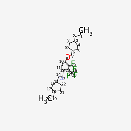 CCCC1CCC(COc2ccc(/C=C/C3CCC(CC)CC3)c(C(F)(F)F)c2F)CC1